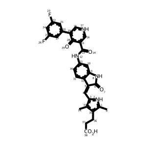 Cc1[nH]c(C=C2C(=O)Nc3cc(NC(=O)c4c[nH]cc(-c5cc(F)cc(F)c5)c4=O)ccc32)c(C)c1CCC(=O)O